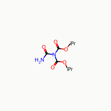 CC(C)OC(=O)N(C(N)=O)C(=O)OC(C)C